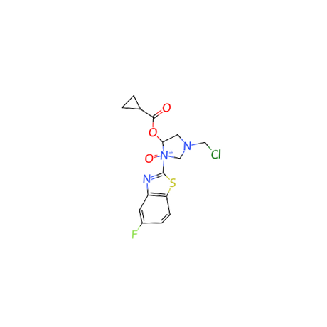 O=C(OC1CN(CCl)C[N+]1([O-])c1nc2cc(F)ccc2s1)C1CC1